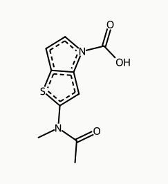 CC(=O)N(C)c1cc2c(ccn2C(=O)O)s1